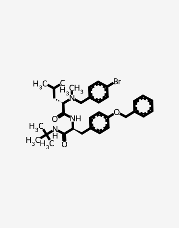 CC(C)C[C@@H](C(=O)N[C@@H](Cc1ccc(OCc2ccccc2)cc1)C(=O)NC(C)(C)C)N(C)Cc1ccc(Br)cc1